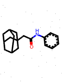 O=C(CC12CC3CC(CC(C3)C1)C2)Nc1ccccc1